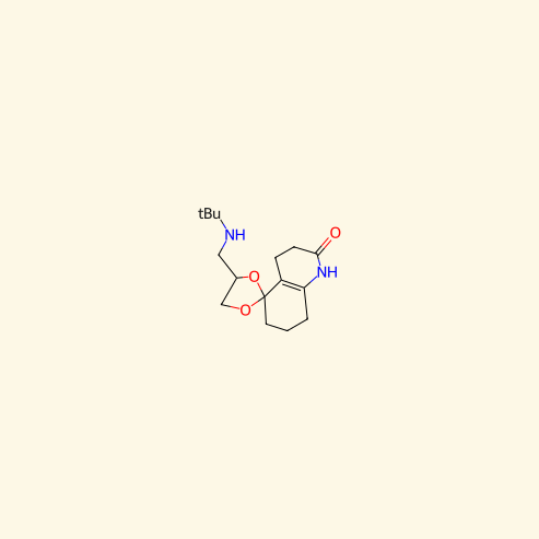 CC(C)(C)NCC1COC2(CCCC3=C2CCC(=O)N3)O1